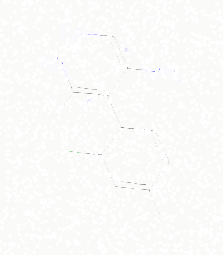 N/C=C(N)\C(=C(/N)Cl)c1ccc(F)cc1Cl